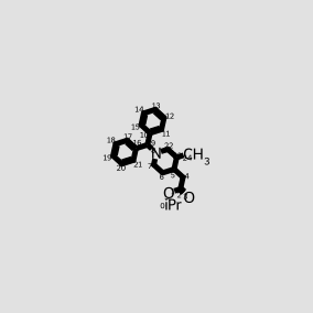 CC(C)OC(=O)CC1CCN(C(c2ccccc2)c2ccccc2)CC1C